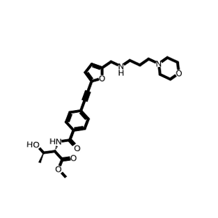 COC(=O)[C@@H](NC(=O)c1ccc(C#Cc2ccc(CNCCCN3CCOCC3)o2)cc1)[C@@H](C)O